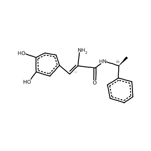 C[C@H](NC(=O)/C(N)=C/c1ccc(O)c(O)c1)c1ccccc1